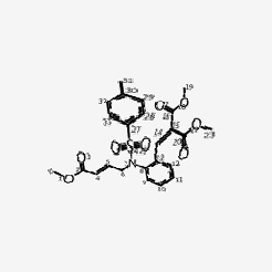 COC(=O)/C=C/CN(c1ccccc1C=C(C(=O)OC)C(=O)OC)S(=O)(=O)c1ccc(C)cc1